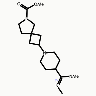 C/N=C(\NC)C1CCN(C2CC3(CCN(C(=O)OC)C3)C2)CC1